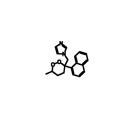 CC1CCC(Cn2ccnc2)(c2cccc3ccccc23)OO1